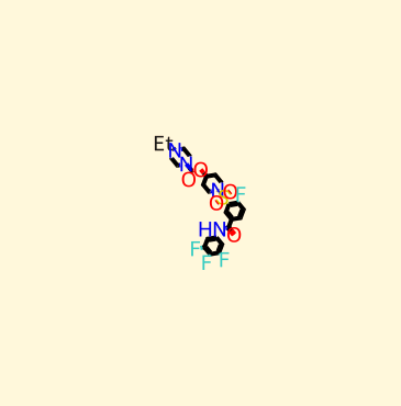 CCN1CCN(C(=O)OC2CCN(S(=O)(=O)c3cc(C(=O)Nc4cc(F)c(F)c(F)c4)ccc3F)CC2)CC1